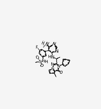 Cc1ccn2nc(C(C)Nc3ncnc(N)c3-c3cc(F)cc(NS(C)(=O)=O)c3)n(-c3ccccc3)c(=O)c12